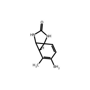 BC1=C(C)[C@@H]2C3NC(=O)NC32C=C1